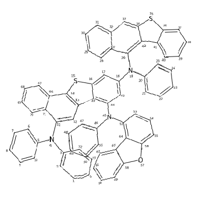 c1ccc(N(c2ccccc2)c2cc3c(sc4cc(N(c5ccccc5)c5c6ccccc6cc6sc7ccccc7c56)cc(N(c5ccccc5)c5cccc6oc7ccccc7c56)c43)c3ccccc23)cc1